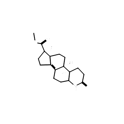 COC(=O)C1CCC2=C3CCC4NC(=O)CC[C@]4(C)[C@@H]3CC[C@@]21C